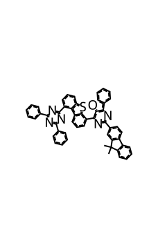 CC1(C)c2ccccc2-c2ccc(-c3nc(-c4cccc5c4sc4cccc(-c6nc(-c7ccccc7)nc(-c7ccccc7)n6)c45)c4oc5ccccc5c4n3)cc21